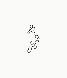 CC1(C)c2ccc(-c3ccc4oc5ccc(-c6c7ccccc7c(-c7ccc8ccccc8c7)c7ccccc67)cc5c4c3)cc2-c2ccc3ccccc3c21